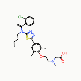 C=C(c1ccccc1Cl)N(CCCC)c1nnc(-c2cc(C)c(OCCN(C)CC(=O)O)c(C)c2)s1